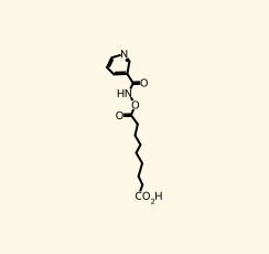 O=C(O)CCCCCCCC(=O)ONC(=O)c1cccnc1